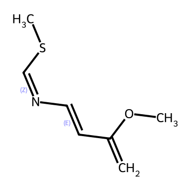 C=C(/C=C/N=C\SC)OC